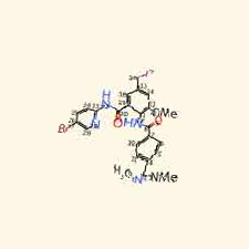 C/N=C(/NC)c1ccc(C(=O)Nc2c(OC)cc(CI)cc2C(=O)Nc2ccc(Br)cn2)cc1